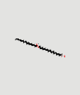 CCCCCCCCCCCCCCCC(=O)OCCCCCCCCCCCCCCCCCO